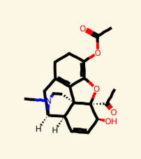 CC(=O)OC1=C2O[C@@]3(C(C)=O)[C@@H](O)C=C[C@H]4[C@H]5CC(=C2[C@]43CCN5C)CC1